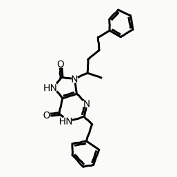 CC(CCCc1ccccc1)n1c(=O)[nH]c2c(=O)[nH]c(Cc3ccccc3)nc21